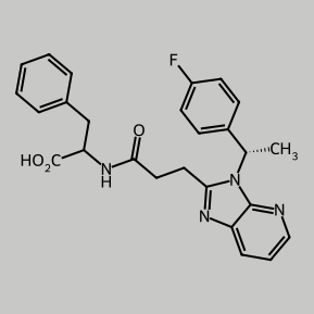 C[C@@H](c1ccc(F)cc1)n1c(CCC(=O)NC(Cc2ccccc2)C(=O)O)nc2cccnc21